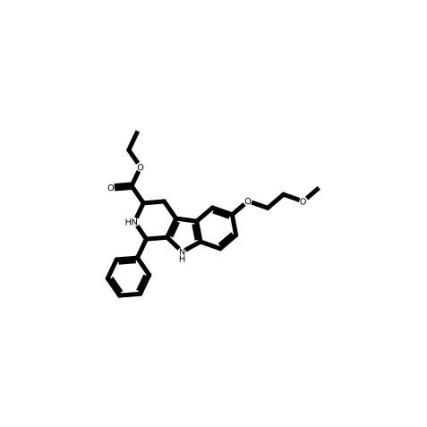 CCOC(=O)C1Cc2c([nH]c3ccc(OCCOC)cc23)C(c2ccccc2)N1